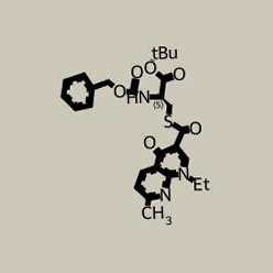 CCn1cc(C(=O)SC[C@@H](NC(=O)OCc2ccccc2)C(=O)OC(C)(C)C)c(=O)c2ccc(C)nc21